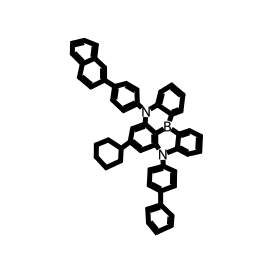 c1ccc(-c2ccc(N3c4ccccc4B4c5ccccc5N(c5ccc(-c6ccc7ccccc7c6)cc5)c5cc(C6CCCCC6)cc3c54)cc2)cc1